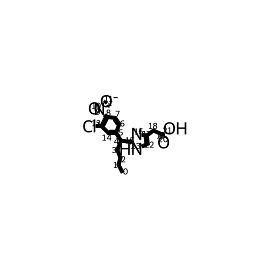 CCCCC(c1ccc([N+](=O)[O-])c(Cl)c1)c1nc(CC(=O)O)c[nH]1